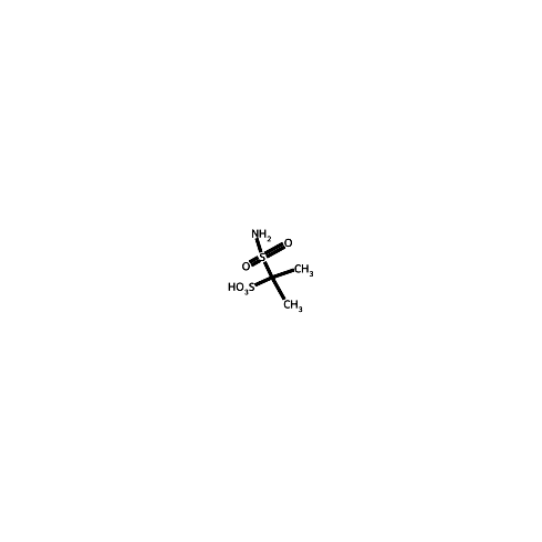 CC(C)(S(N)(=O)=O)S(=O)(=O)O